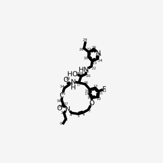 CCCN1CC=CCOc2cc(F)cc(c2)CC(C(O)CNCc2cncc(CC)c2)NC(=O)CCCC1=O